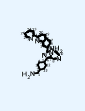 NCC1CCC(C2=C3C=NC=C[N+]3(N)C(c3ccc4ccc(-c5ccccn5)nc4c3)=N2)CC1